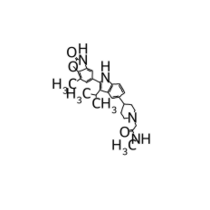 CNC(=O)CN1CCC(c2ccc3[nH]c(-c4cc(C)c5oc(=O)[nH]c5c4)c(C(C)C)c3c2)CC1